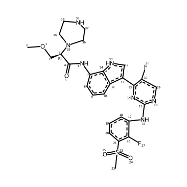 COC[C@H](C(=O)Nc1cccc2c(-c3nc(Nc4cccc(S(C)(=O)=O)c4F)ncc3F)c[nH]c12)N1CCNCC1